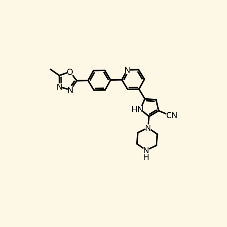 Cc1nnc(-c2ccc(-c3cc(-c4cc(C#N)c(N5CCNCC5)[nH]4)ccn3)cc2)o1